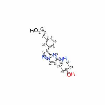 O=C(O)C=Cc1cccc(-c2cnn3ccc(NC4CCC(O)CC4)nc23)c1